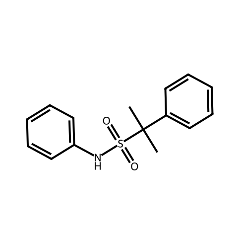 CC(C)(c1ccccc1)S(=O)(=O)Nc1ccccc1